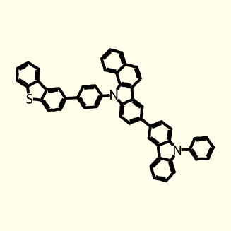 c1ccc(-n2c3ccccc3c3cc(-c4ccc5c(c4)c4ccc6ccccc6c4n5-c4ccc(-c5ccc6sc7ccccc7c6c5)cc4)ccc32)cc1